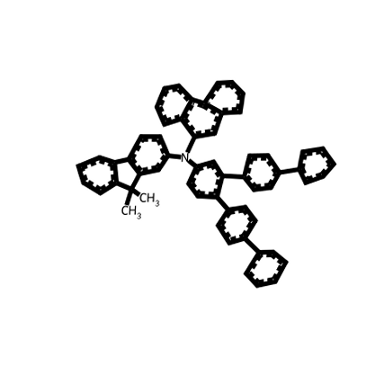 CC1(C)c2ccccc2-c2ccc(N(c3ccc(-c4ccc(-c5ccccc5)cc4)c(-c4ccc(-c5ccccc5)cc4)c3)c3cc4ccccc4c4ccccc34)cc21